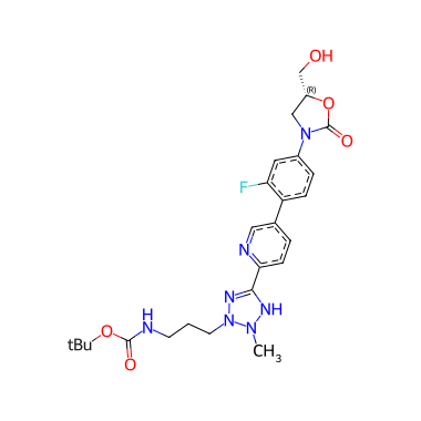 CN1NC(c2ccc(-c3ccc(N4C[C@H](CO)OC4=O)cc3F)cn2)=NN1CCCNC(=O)OC(C)(C)C